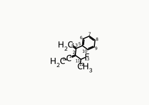 C=C=C(C(=C)c1ccccc1)C(C)F